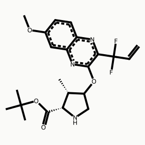 C=CC(F)(F)c1nc2ccc(OC)cc2nc1OC1CN[C@H](C(=O)OC(C)(C)C)[C@@H]1C